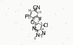 Cn1cnc2c(Cl)cc(Oc3c(F)cc(C#N)cc3F)nc21